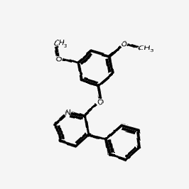 COc1cc(OC)cc(Oc2ncccc2-c2ccccc2)c1